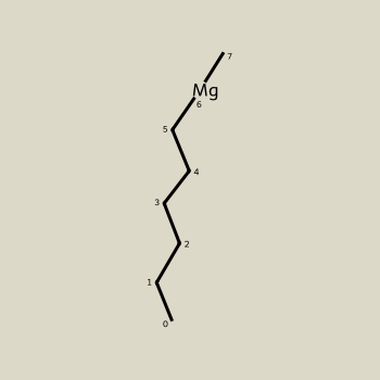 CCCCC[CH2][Mg][CH3]